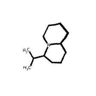 CC(C)C1CCCC2CCCCN21